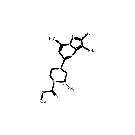 CCc1nn2c(C)cc(N3CCN(C(=O)OC(C)(C)C)[C@@H](C)C3)nc2c1N